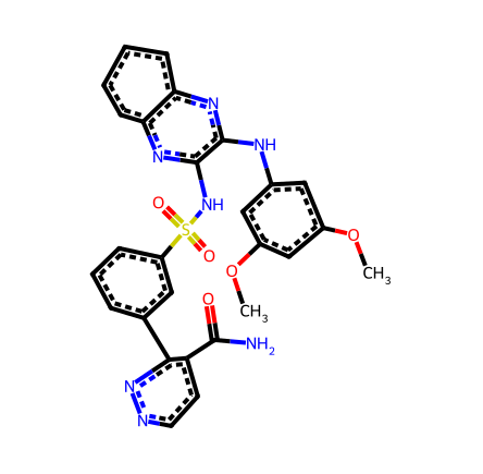 COc1cc(Nc2nc3ccccc3nc2NS(=O)(=O)c2cccc(-c3nnccc3C(N)=O)c2)cc(OC)c1